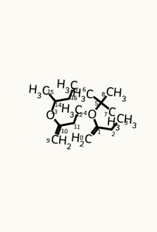 C=C(CC)OC(C)(C)C.C=C(CC)OC(C)CC